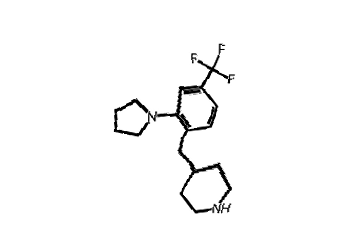 FC(F)(F)c1ccc(CC2CCNCC2)c(N2CCCC2)c1